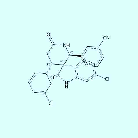 N#Cc1cccc([C@@H]2NC(=O)C[C@@H](C3C=CC=C(Cl)C3)[C@]23C(=O)Nc2cc(Cl)ccc23)c1